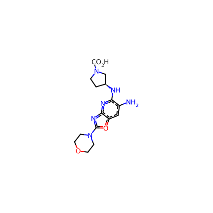 Nc1cc2oc(N3CCOCC3)nc2nc1N[C@H]1CCN(C(=O)O)C1